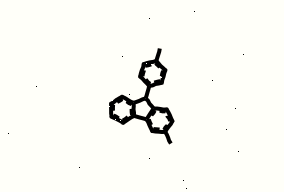 Cc1ccc(C2c3ccccc3-c3cc(C)ccc32)cc1